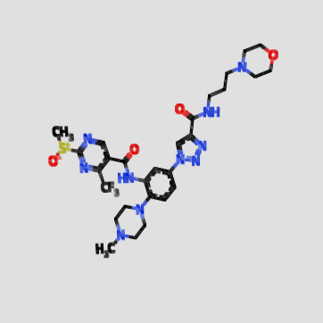 CN1CCN(c2ccc(-n3cc(C(=O)NCCCN4CCOCC4)nn3)cc2NC(=O)c2cnc([S+](C)[O-])nc2C(F)(F)F)CC1